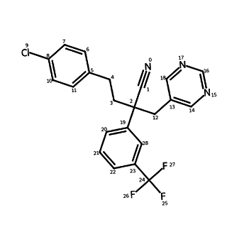 N#CC(CCc1ccc(Cl)cc1)(Cc1cncnc1)c1cccc(C(F)(F)F)c1